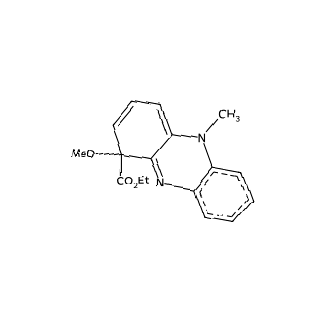 CCOC(=O)C1(OC)C=CC=C2C1=Nc1ccccc1N2C